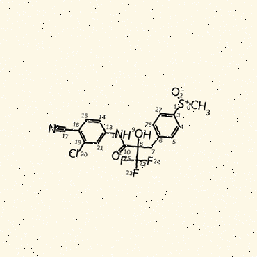 C[S+]([O-])c1ccc(CC(O)(C(=O)Nc2ccc(C#N)c(Cl)c2)C(F)(F)F)cc1